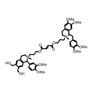 COc1ccc(CC2c3cc(OC)c(OC)cc3CC[N+]2(C)CCCOC(=O)/C=C/C(=O)OCCC[N+]2(C)CCc3cc(CO)c(CO)cc3C2c2ccc(OC)c(OC)c2)cc1OC